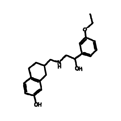 CCOc1cccc(C(O)CNCC2CCc3ccc(O)cc3C2)c1